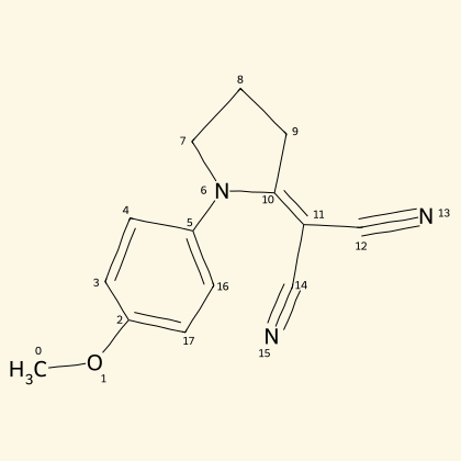 COc1ccc(N2CCCC2=C(C#N)C#N)cc1